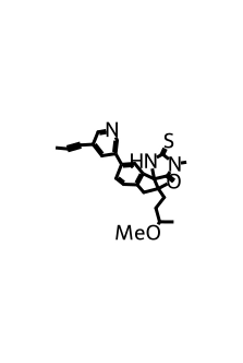 CC#Cc1cncc(-c2ccc3c(c2)C2(NC(=S)N(C)C2=O)C(C)(CCC(C)OC)C3)c1